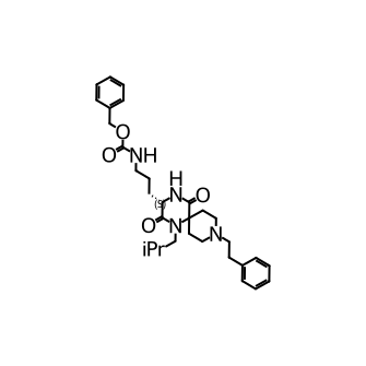 CC(C)CN1C(=O)[C@H](CCCNC(=O)OCc2ccccc2)NC(=O)C12CCN(CCc1ccccc1)CC2